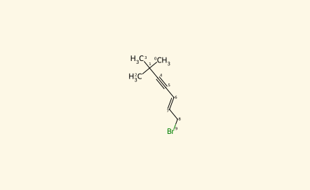 CC(C)(C)C#CC=CCBr